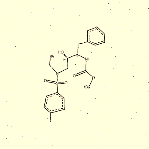 Cc1ccc(S(=O)(=O)N(CC(C)C)C[C@@H](O)[C@H](Cc2ccccc2)NC(=O)OC(C)(C)C)cc1